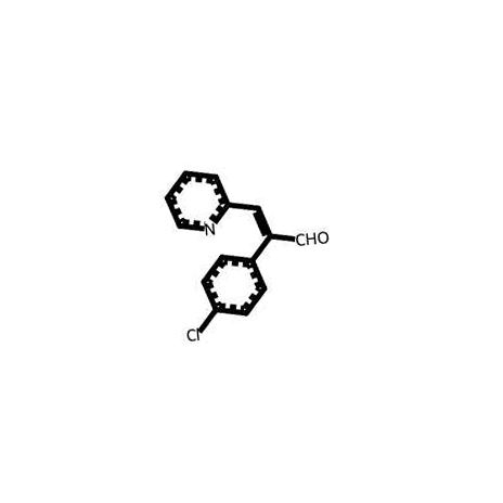 O=CC(=Cc1ccccn1)c1ccc(Cl)cc1